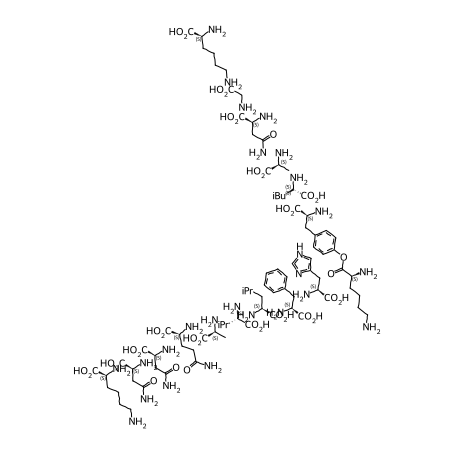 CC(C)C[C@H](N)C(=O)O.CC(C)[C@H](N)C(=O)O.CC[C@H](C)[C@H](N)C(=O)O.C[C@H](N)C(=O)O.C[C@H](N)C(=O)O.NC(=O)CC[C@H](N)C(=O)O.NC(=O)C[C@H](N)C(=O)O.NC(=O)C[C@H](N)C(=O)O.NC(=O)C[C@H](N)C(=O)O.NCC(=O)O.NCCCC[C@H](N)C(=O)O.NCCCC[C@H](N)C(=O)O.NCCCC[C@H](N)C(=O)Oc1ccc(C[C@H](N)C(=O)O)cc1.N[C@@H](Cc1c[nH]cn1)C(=O)O.N[C@@H](Cc1ccccc1)C(=O)O